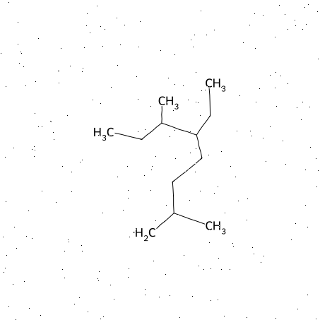 [CH2]C(C)CCC(CC)C(C)CC